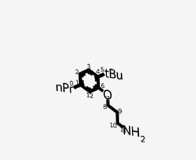 CCCc1ccc(C(C)(C)C)c(OCCCN)c1